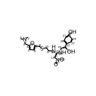 CN(C)Cc1ccc(CSCCN/C(=C/[N+](=O)[O-])NCC(O)c2ccc(O)cc2)o1